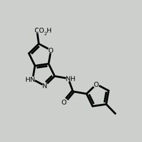 Cc1coc(C(=O)Nc2n[nH]c3cc(C(=O)O)oc23)c1